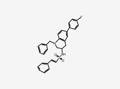 O=S(=O)(C=Cc1ccccc1)NC1Cc2cc(-c3ccc(F)cc3)ccc2N(Cc2ccccc2)C1